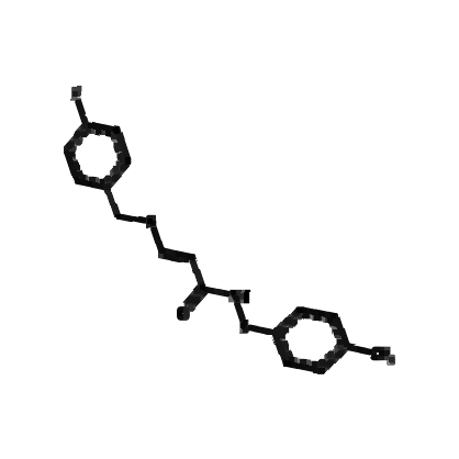 Cc1ccc(SNC(=O)/C=C/SCc2ccc(F)cc2)cc1